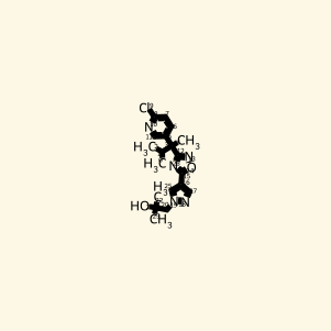 CC(C)C(C)(c1ccc(Cl)nc1)c1noc(-c2cnn(CC(C)(C)O)c2)n1